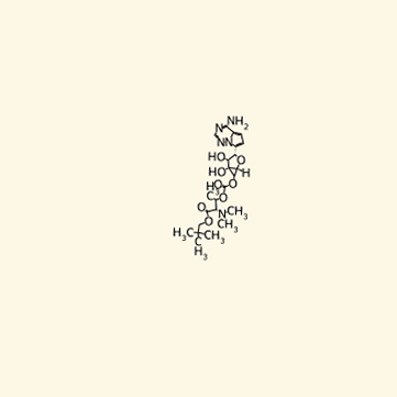 C[C@@H](OC(=O)OC1[C@H]2O[C@@H](c3ccc4c(N)ncnn34)[C@H](O)[C@@]12O)[C@@H](C(=O)OCC(C)(C)C)N(C)C